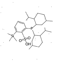 CC1CCC(C(C)C)C(P(c2cccc([Si](C)(C)C)c2S(=O)(=O)O)C2CC(C)CCC2C(C)C)C1